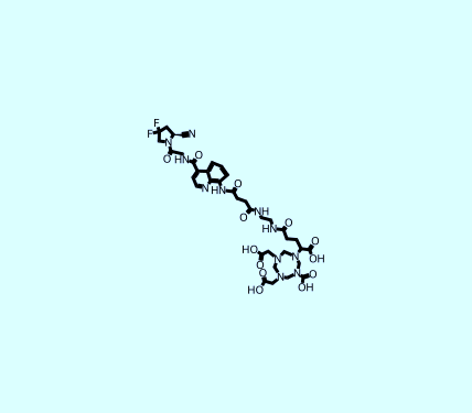 N#C[C@@H]1CC(F)(F)CN1C(=O)CNC(=O)c1ccnc2c(NC(=O)CCC(=O)NCCNC(=O)CCC(C(=O)O)N3CN(CC(=O)O)CN(CC(=O)O)CN(C(=O)O)C3)cccc12